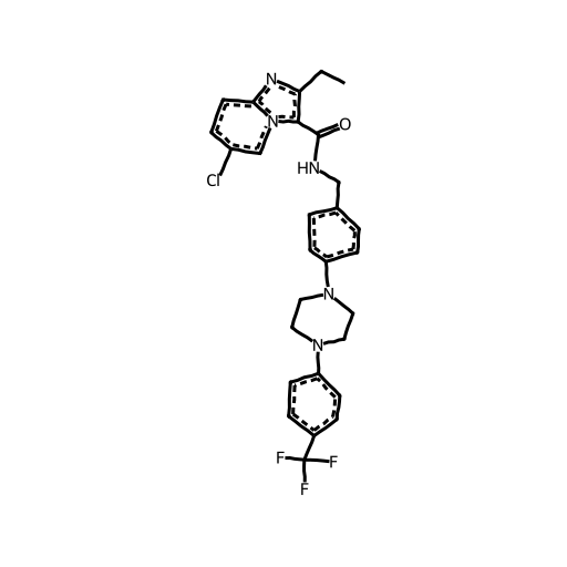 CCc1nc2ccc(Cl)cn2c1C(=O)NCc1ccc(N2CCN(c3ccc(C(F)(F)F)cc3)CC2)cc1